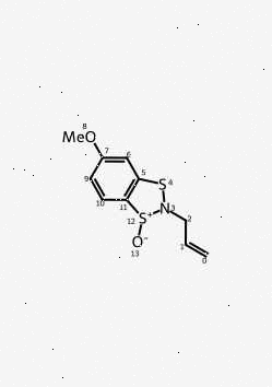 C=CCN1Sc2cc(OC)ccc2[S+]1[O-]